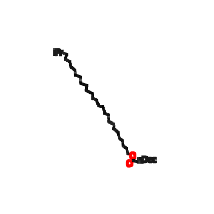 CCCCCCCCCCCC(=O)OCCCCCCCCCCCCCCCCCCCCCCCCCCC(C)C